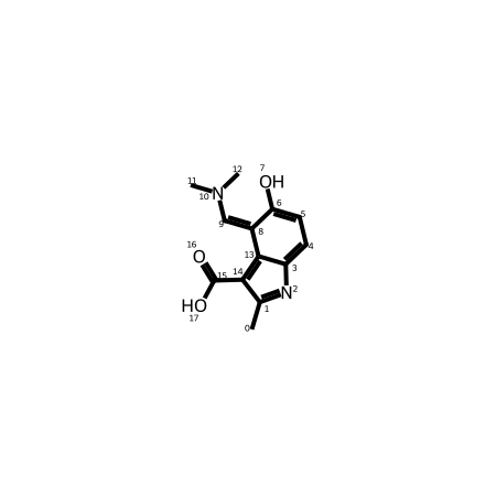 CC1=Nc2ccc(O)c(=CN(C)C)c2=C1C(=O)O